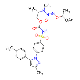 CC(=O)OC(C)ON=[N+]([O-])N(C)[C@@H](C)COC(=O)NS(=O)(=O)c1ccc(-n2nc(C(F)(F)F)cc2-c2ccc(C)cc2)cc1